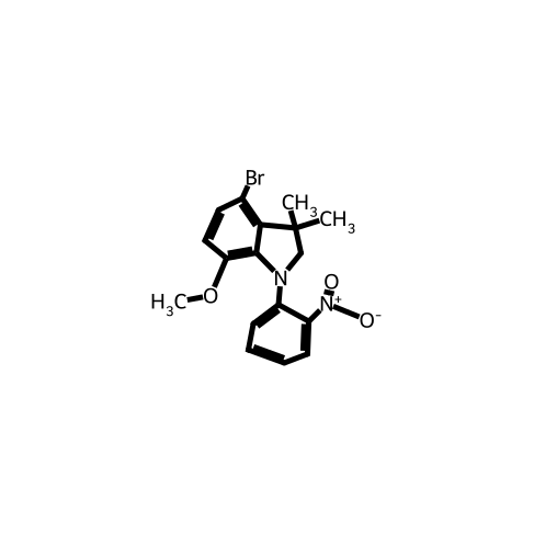 COc1ccc(Br)c2c1N(c1ccccc1[N+](=O)[O-])CC2(C)C